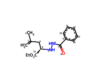 C=C(C)C[C@@H](NNC(=O)c1ccccc1)C(=O)OCC